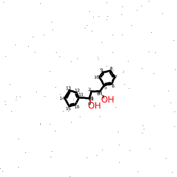 O[C@H](C[C@@H](O)c1ccccc1)c1ccccc1